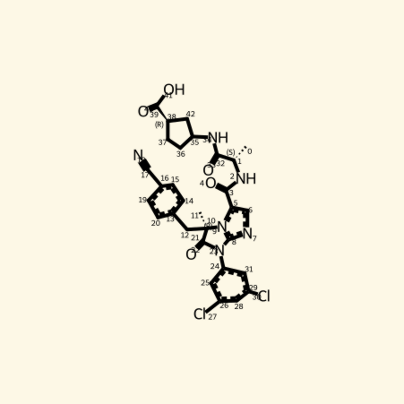 C[C@H](NC(=O)c1cnc2n1[C@](C)(Cc1ccc(C#N)cc1)C(=O)N2c1cc(Cl)cc(Cl)c1)C(=O)NC1CC[C@@H](C(=O)O)C1